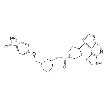 NC(=O)c1ccc(OCC2CCCC(CC(=O)C3CCC(c4ccnc5cnc6[nH]ccc6c45)CC3)C2)cc1